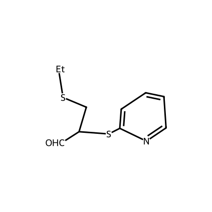 CCSCC(C=O)Sc1ccccn1